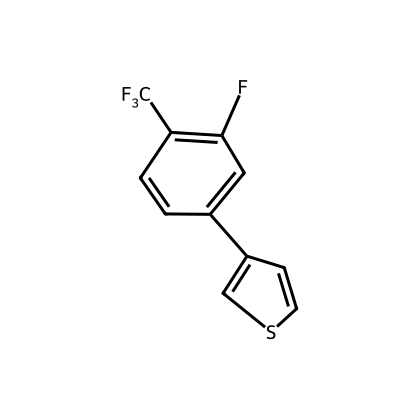 Fc1cc(-c2ccsc2)ccc1C(F)(F)F